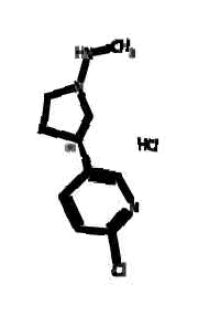 CNN1CC[C@H](c2ccc(Cl)nc2)C1.Cl